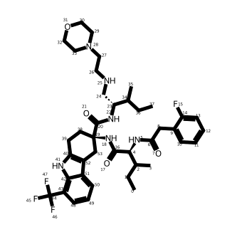 CCC(C)[C@H](NC(=O)Cc1ccccc1F)C(=O)N[C@]1(C(=O)N[C@H](CNCCN2CCOCC2)C(C)CC)CCc2[nH]c3c(C(F)(F)F)cccc3c2C1